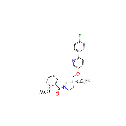 CCOC(=O)C1(COc2ccc(-c3ccc(F)cc3)nc2)CCN(C(=O)c2ccccc2OC)C1